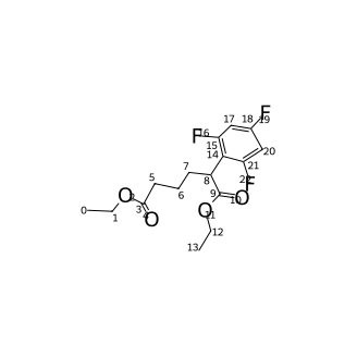 CCOC(=O)CCCC(C(=O)OCC)c1c(F)cc(F)cc1F